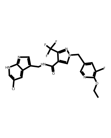 CCOc1ncc(Cn2cc(C(=O)NCc3cnc4[nH]cc(Cl)cc3-4)c(C(F)(F)F)n2)cc1F